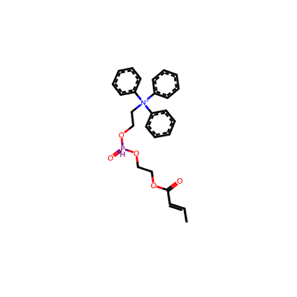 CC=CC(=O)OCCO[PH](=O)OCC[N+](c1ccccc1)(c1ccccc1)c1ccccc1